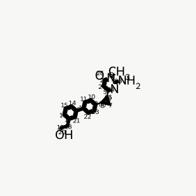 Cn1c(N)nc([C@H]2C[C@H]2c2ccc(-c3cccc(CCO)c3)cc2)cc1=O